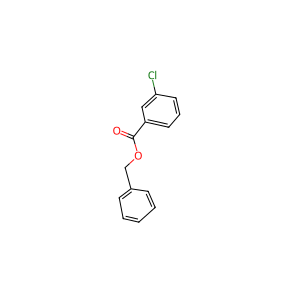 O=C(OCc1ccccc1)c1cccc(Cl)c1